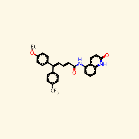 CCOc1ccc(C(=CC=CC(=O)Nc2cccc3[nH]c(=O)ccc23)c2ccc(C(F)(F)F)cc2)cc1